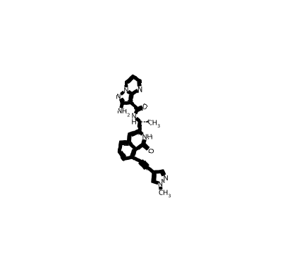 C[C@@H](NC(=O)c1c(N)nn2cccnc12)c1cc2cccc(C#Cc3cnn(C)c3)c2c(=O)[nH]1